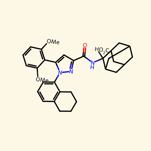 COc1cccc(OC)c1-c1cc(C(=O)NC2(C(=O)O)C3CC4CC(C3)CC2C4)nn1-c1cccc2c1CCCC2